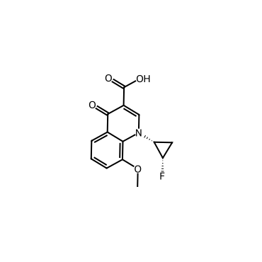 COc1cccc2c(=O)c(C(=O)O)cn([C@@H]3C[C@@H]3F)c12